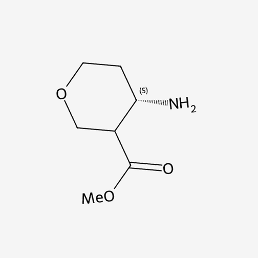 COC(=O)C1COCC[C@@H]1N